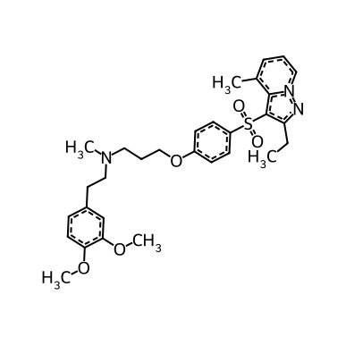 CCc1nn2cccc(C)c2c1S(=O)(=O)c1ccc(OCCCN(C)CCc2ccc(OC)c(OC)c2)cc1